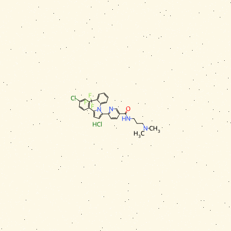 CN(C)CCCNC(=O)c1ccc(-c2ccc(-c3ccc(Cl)cc3)n2-c2ccccc2C(F)(F)F)nc1.Cl